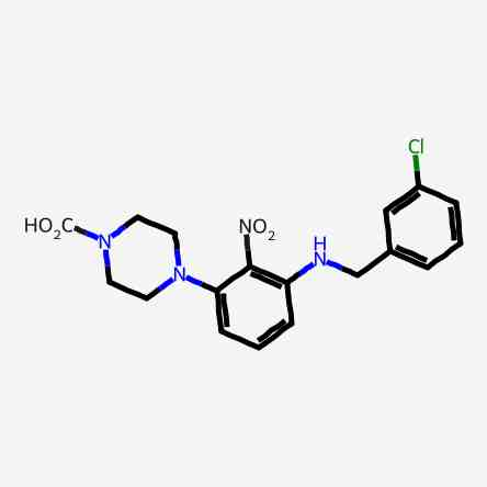 O=C(O)N1CCN(c2cccc(NCc3cccc(Cl)c3)c2[N+](=O)[O-])CC1